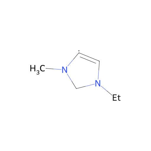 CCN1C=[C]N(C)C1